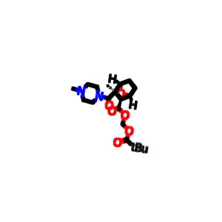 CN1CCN(C(=O)[C@@]2(C)[C@@H]3CC[C@@H](O3)[C@H]2C(=O)OCOC(=O)C(C)(C)C)CC1